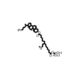 CCCCCCCCC(CCCCCCCC)OC(=O)CCCCCCC(CCCCCC(=O)OC1CCC2(C)C(=CCC3C2CCC2(C)C(C(C)CCCC(C)C)CCC32)C1)CCN(C)C